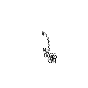 CC(C)CCCCCCCCCC(=O)C(CO)S(=O)(=O)[O-].[Na+]